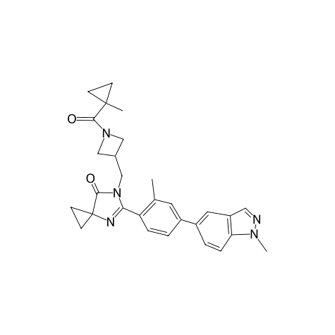 Cc1cc(-c2ccc3c(cnn3C)c2)ccc1C1=NC2(CC2)C(=O)N1CC1CN(C(=O)C2(C)CC2)C1